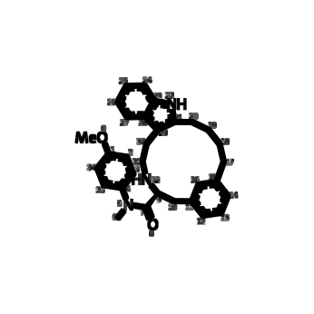 COc1ccc(N(C)C(=O)[C@@H]2Cc3cccc(c3)CCCCc3[nH]c4ccccc4c3CCN2)cc1